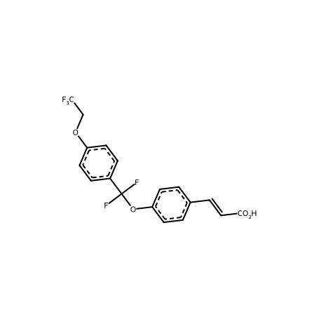 O=C(O)C=Cc1ccc(OC(F)(F)c2ccc(OCC(F)(F)F)cc2)cc1